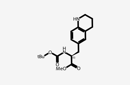 COC(=O)[C@H](Cc1ccc2c(c1)CCCN2)NC(=O)OC(C)(C)C